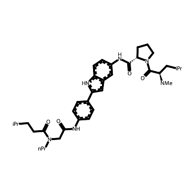 CCCN(CC(=O)Nc1ccc(-c2cc3cc(NC(=O)[C@@H]4CCCN4C(=O)[C@@H](CC(C)C)NC)ccc3[nH]2)cc1)C(=O)CCC(C)C